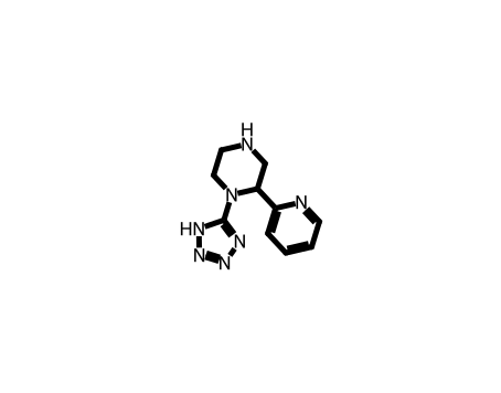 c1ccc(C2CNCCN2c2nnn[nH]2)nc1